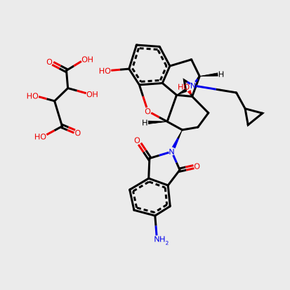 Nc1ccc2c(c1)C(=O)N([C@@H]1CC[C@@]3(O)[C@H]4Cc5ccc(O)c6c5[C@@]3(CCN4CC3CC3)[C@H]1O6)C2=O.O=C(O)C(O)C(O)C(=O)O